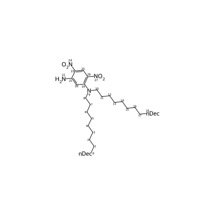 CCCCCCCCCCCCCCCCCCN(CCCCCCCCCCCCCCCCCC)c1cc(N)c([N+](=O)[O-])cc1[N+](=O)[O-]